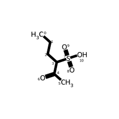 CCCC(C(C)=O)S(=O)(=O)O